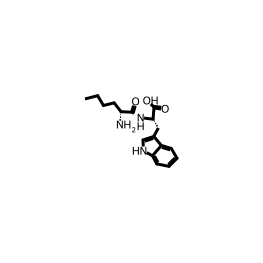 CCCC[C@@H](N)C(=O)N[C@@H](Cc1c[nH]c2ccccc12)C(=O)O